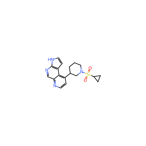 O=S(=O)(C1CC1)N1CCCC(c2ccnc3cnc4[nH]ccc4c23)C1